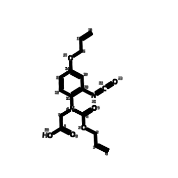 C=CCOC(=O)N(CC(=O)O)c1ccc(OCC=C)cc1N=C=O